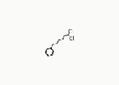 ClC(Cl)CCCCCc1ccccc1